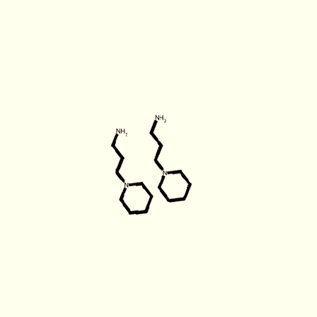 NCCCN1CCCCC1.NCCCN1CCCCC1